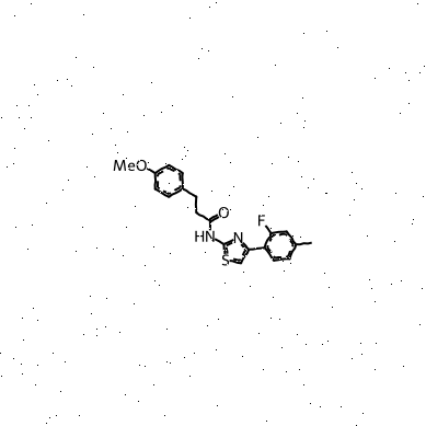 COc1ccc(CCC(=O)Nc2nc(-c3ccc(C)cc3F)cs2)cc1